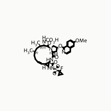 COc1ccc2c(O[C@@H]3C[C@H]4C(=O)N[C@]5(C(=O)NS(=O)(=O)C6(F)CC6)C[C@H]5C=CCC[C@@H](C)C[C@@H](C)[C@H](NC(=O)O)C(=O)N4C3)nccc2c1